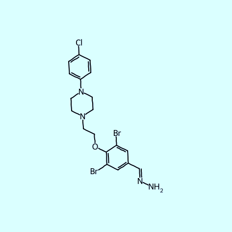 NN=Cc1cc(Br)c(OCCN2CCN(c3ccc(Cl)cc3)CC2)c(Br)c1